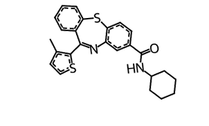 Cc1ccsc1C1=Nc2cc(C(=O)NC3CCCCC3)ccc2Sc2ccccc21